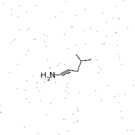 CC(C)CC#CN